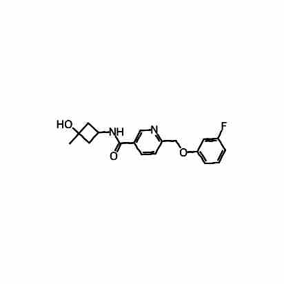 CC1(O)CC(NC(=O)c2ccc(COc3cccc(F)c3)nc2)C1